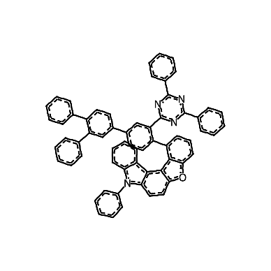 c1ccc(-c2nc(-c3ccccc3)nc(-c3cc(-c4ccc(-c5ccccc5)c(-c5ccccc5)c4)ccc3-c3cccc4oc5ccc6c(c7ccccc7n6-c6ccccc6)c5c34)n2)cc1